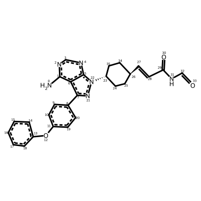 Nc1ncnc2c1c(-c1ccc(Oc3ccccc3)cc1)nn2[C@H]1CC[C@H](C=CC(=O)NC=O)CC1